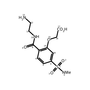 CNS(=O)(=O)c1ccc(C(=O)NCCN)c(OCC(=O)O)c1